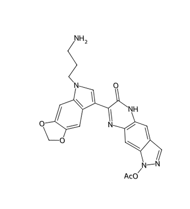 CC(=O)On1ncc2cc3[nH]c(=O)c(-c4cn(CCCN)c5cc6c(cc45)OCO6)nc3cc21